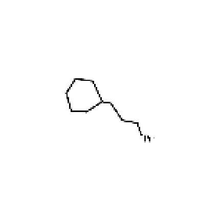 C[C](C)CCCC1CCCCC1